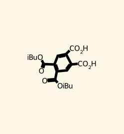 CC(C)COC(=O)c1cc(C(=O)O)c(C(=O)O)cc1C(=O)OCC(C)C